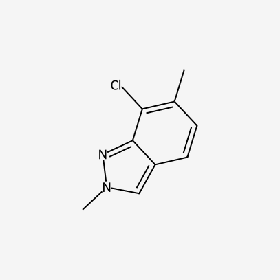 Cc1ccc2cn(C)nc2c1Cl